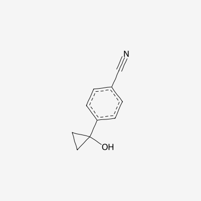 N#Cc1ccc(C2(O)CC2)cc1